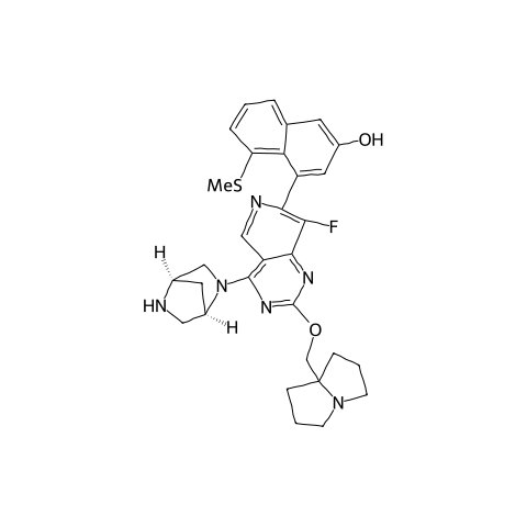 CSc1cccc2cc(O)cc(-c3ncc4c(N5C[C@H]6C[C@@H]5CN6)nc(OCC56CCCN5CCC6)nc4c3F)c12